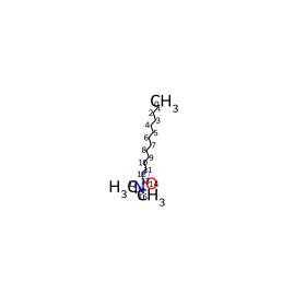 CCCCCCCCCCC/C=C/C(=O)N(C)C